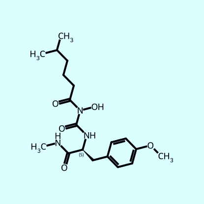 CNC(=O)[C@H](Cc1ccc(OC)cc1)NC(=O)N(O)C(=O)CCCC(C)C